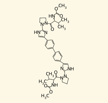 COC(=O)N[C@H](C(=O)N1CCCN1c1nc(-c2ccc(-c3ccc(-c4c[nH]c(N5CCCN5C(=O)[C@@H](NC(=O)OC)C(C)C)n4)cc3)cc2)c[nH]1)C(C)C